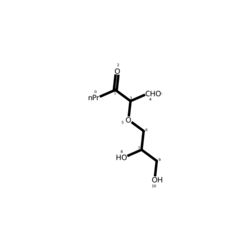 CCCC(=O)C([C]=O)OCC(O)CO